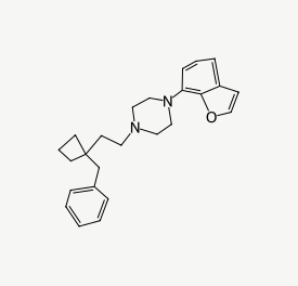 c1ccc(CC2(CCN3CCN(c4cccc5ccoc45)CC3)CCC2)cc1